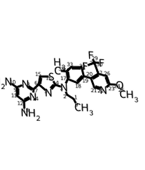 CCCN(c1nc(-c2nc(N)cc(N)n2)cs1)c1cc(-c2cnc(OC)cc2C(F)(F)F)ccc1C